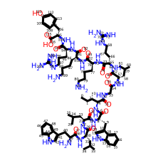 CC[C@H](C)[C@H](NC(=O)[C@H](Cc1c[nH]c2ccccc12)NC(=O)[C@H](CC(C)C)NC(=O)[C@H](CC(C)C)NC(=O)[C@@H](N)Cc1c[nH]c2ccccc12)C(=O)NCC(=O)N[C@@H](CC(C)C)C(=O)N[C@@H](CCCNC(=N)N)C(=O)N[C@@H](CCCCN)C(=O)N[C@@H](CCCCN)C(=O)N[C@@H](CCCNC(=N)N)C(=O)N[C@@H](Cc1ccc(O)cc1)C(=O)O